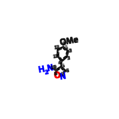 COc1ccc(-c2cnoc2N)cc1